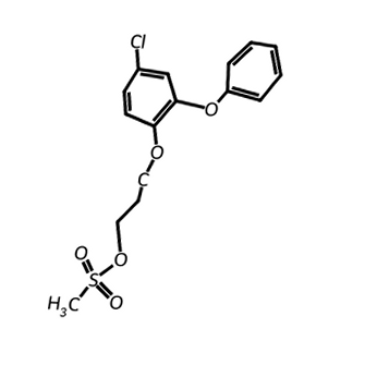 CS(=O)(=O)OCCCOc1ccc(Cl)cc1Oc1ccccc1